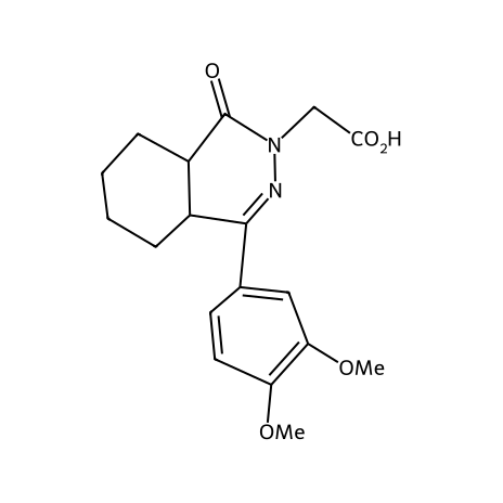 COc1ccc(C2=NN(CC(=O)O)C(=O)C3CCCCC23)cc1OC